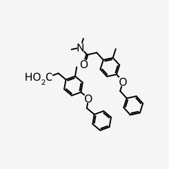 Cc1cc(OCc2ccccc2)ccc1CC(=O)N(C)C.Cc1cc(OCc2ccccc2)ccc1CC(=O)O